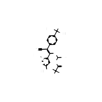 Cc1cc(/C(OC(C)OC(=O)C(F)(F)F)=C(\C#N)c2ccc(C(C)(C)C)cc2)n(C)n1